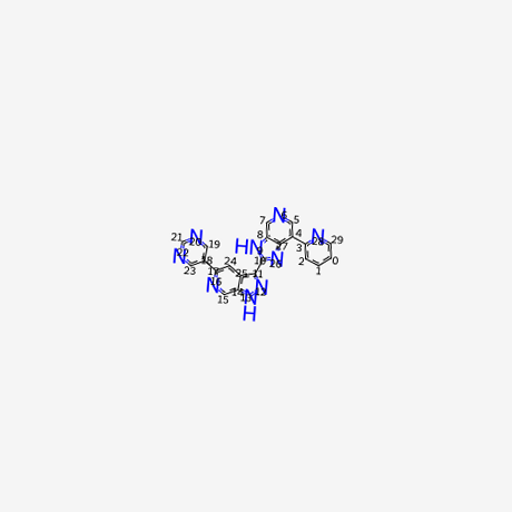 c1ccc(-c2cncc3[nH]c(-c4n[nH]c5cnc(-c6cncnc6)cc45)nc23)nc1